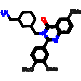 COc1ccc2nc(-c3ccc(OC)c(OC)c3)n(CC3CCCC(CN)C3)c(=O)c2c1